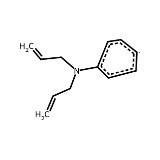 C=CCN(CC=C)c1cc[c]cc1